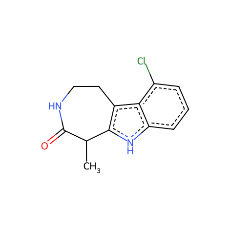 CC1C(=O)NCCc2c1[nH]c1cccc(Cl)c21